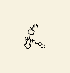 CCCN1CCC(c2nc3ccccc3n2CCOCC)CC1